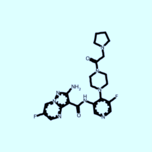 Nc1nn2cc(F)cnc2c1C(=O)Nc1cncc(F)c1N1CCN(C(=O)CN2CCCC2)CC1